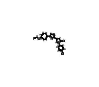 O=C1CC(c2nc(C3=CC=C(OCF)C=CC3)no2)CN1c1ccc(Cl)cc1